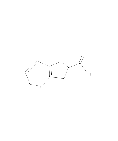 NC(=O)C1CC2=C(C=CCO2)S1